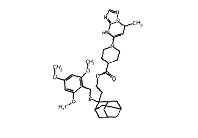 COc1cc(OC)c(CSC2(CCOC(=O)C3CCN(C4=CC(C)n5ncnc5N4)CC3)C3CC4CC(C3)CC2C4)c(OC)c1